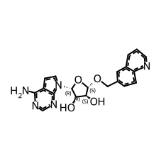 Nc1ncnc2c1ccn2[C@@H]1O[C@H](OCc2ccc3ncccc3c2)[C@@H](O)[C@H]1O